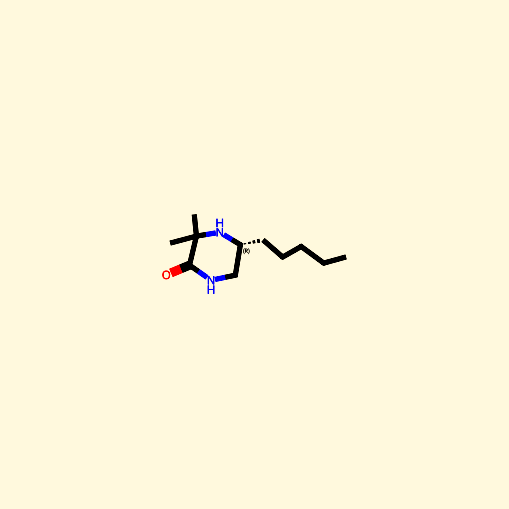 CCCCC[C@@H]1CNC(=O)C(C)(C)N1